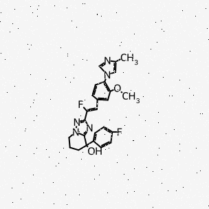 COc1cc(C=C(F)c2nc3n(n2)CCCC3(O)c2ccc(F)cc2)ccc1-n1cnc(C)c1